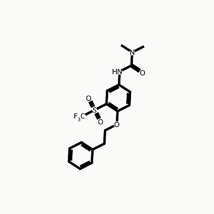 CN(C)C(=O)Nc1ccc(OCCc2ccccc2)c(S(=O)(=O)C(F)(F)F)c1